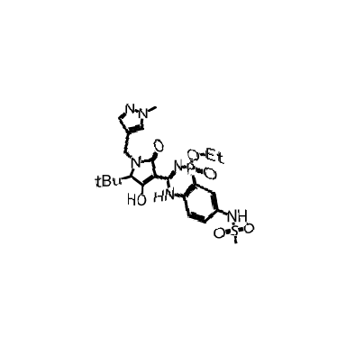 CCOP1(=O)N=C(C2=C(O)C(C(C)(C)C)N(Cc3cnn(C)c3)C2=O)Nc2ccc(NS(C)(=O)=O)cc21